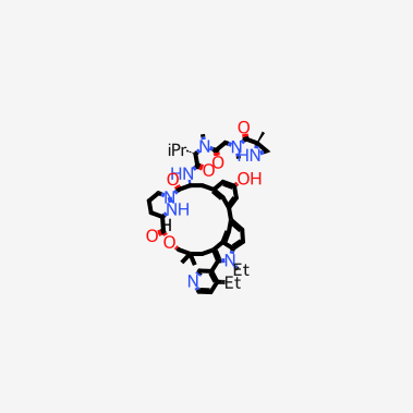 CCc1ccncc1-c1c2c3cc(ccc3n1CC)-c1cc(O)cc(c1)C[C@H](NC(=O)[C@H](C(C)C)N(C)C(=O)CN(C)C(=O)[C@]1(C)CN1)C(=O)N1CCC[C@H](N1)C(=O)OCC(C)(C)C2